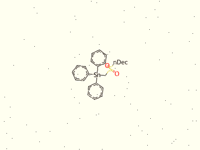 CCCCCCCCCCS(=O)(=O)[CH2][Sn]([c]1ccccc1)([c]1ccccc1)[c]1ccccc1